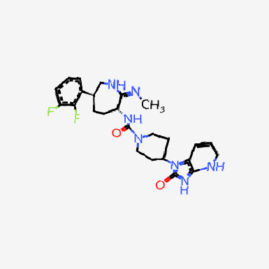 C/N=C1/NC[C@H](c2cccc(F)c2F)CC[C@H]1NC(=O)N1CCC(n2c3c([nH]c2=O)NCC=C3)CC1